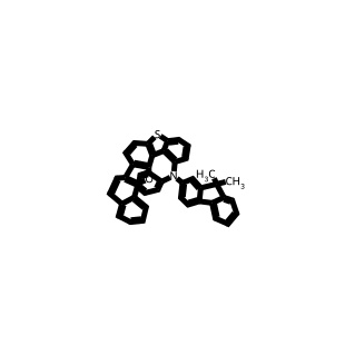 CC1(C)c2ccccc2-c2ccc(N(c3ccccc3)c3cccc4sc5ccc6c7ccc8ccccc8c7oc6c5c34)cc21